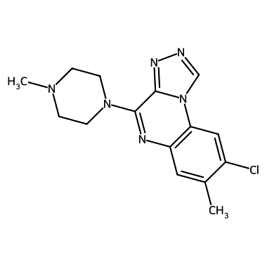 Cc1cc2nc(N3CCN(C)CC3)c3nncn3c2cc1Cl